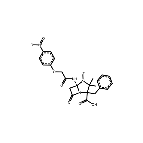 CC1(C)[S+]([O-])[C@]2(NC(=O)COc3ccc([N+](=O)[O-])cc3)CC(=O)N2C1(Cc1ccccc1)C(=O)O